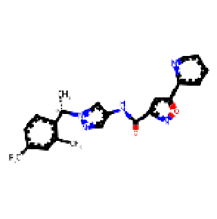 C[C@@H](c1ccc(C(F)(F)F)cc1C(F)(F)F)n1cc(NC(=O)c2cc(-c3ccccn3)on2)cn1